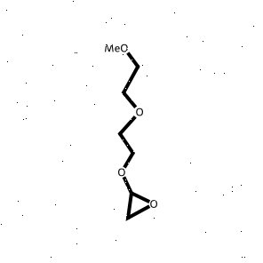 COCCOCCOC1CO1